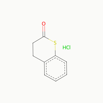 Cl.O=C1CCc2ccccc2S1